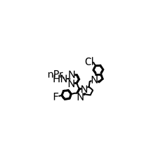 CCCNc1nccc(-c2c(-c3ccc(F)cc3)nc3n2C(Cn2ccc4ccc(Cl)cc42)CC3)n1